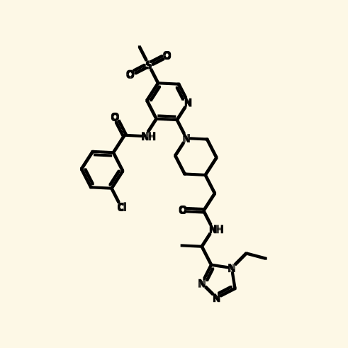 CCn1cnnc1C(C)NC(=O)CC1CCN(c2ncc(S(C)(=O)=O)cc2NC(=O)c2cccc(Cl)c2)CC1